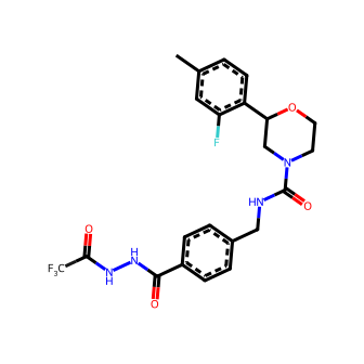 Cc1ccc(C2CN(C(=O)NCc3ccc(C(=O)NNC(=O)C(F)(F)F)cc3)CCO2)c(F)c1